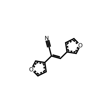 N#CC(=Cc1ccoc1)c1ccoc1